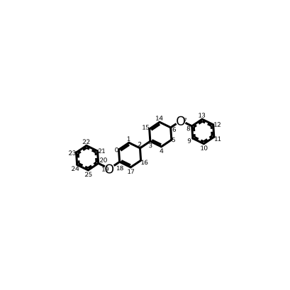 C1=CC(C2=CCC(Oc3ccccc3)C=C2)CC=C1Oc1ccccc1